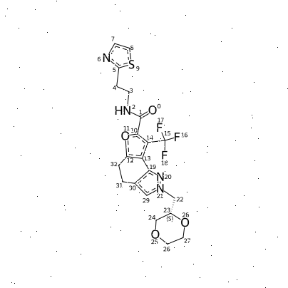 O=C(NCCc1nccs1)c1oc2c(c1C(F)(F)F)-c1nn(C[C@H]3COCCO3)cc1CC2